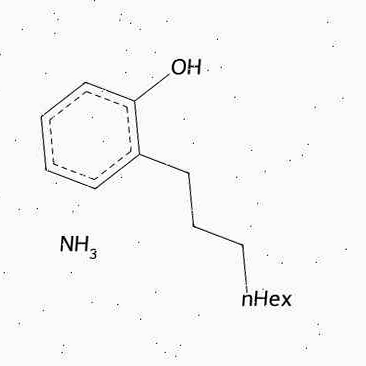 CCCCCCCCCc1ccccc1O.N